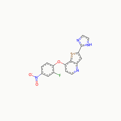 O=[N+]([O-])c1ccc(Oc2ccnc3cc(-c4ncc[nH]4)sc23)c(F)c1